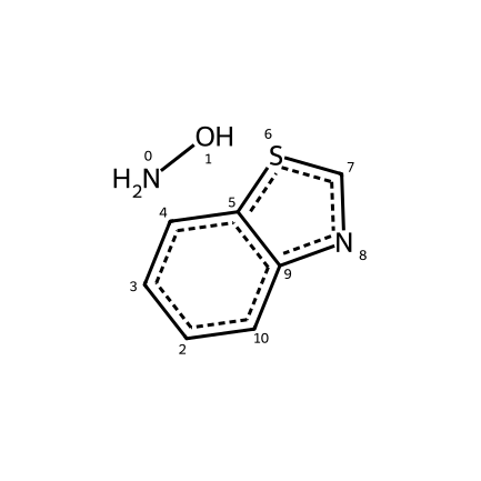 NO.c1ccc2scnc2c1